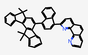 CC1(C)c2ccccc2-c2c1cc(-c1ccc(-c3ccc4ccc5cccnc5c4n3)c3ccccc13)c1c2C(C)(C)c2ccccc2-1